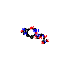 CCn1c(-c2cccnc2[C@H](C)OC)c2c3cc(ccc31)-c1cccc(c1)C[C@H](NC(=O)[C@H](C(C)C)N1CC[C@@]3(CCN(C(=O)C#C[C@H]4COCCN4C4COC4)C3)C1=O)C(=O)N1CCC[C@H](N1)C(=O)OCC(C)(C)C2